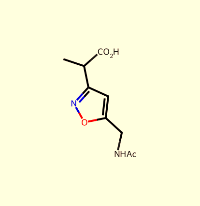 CC(=O)NCc1cc(C(C)C(=O)O)no1